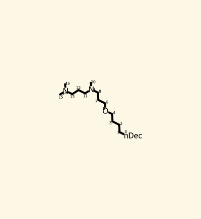 CCCCCCCCCCCCCCOCCCN(C)CCCN(C)C